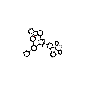 c1ccc(-c2ccc(-c3nc(-c4ccc5c(c4)-c4ccccc4C54c5ccccc5Sc5ccccc54)nc(-c4cccc5c4oc4ccccc45)n3)c(-c3ccccc3)c2)cc1